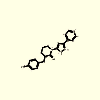 O=C1C(Cc2ccc(Cl)cc2)CCCN1c1cc(-c2ccncc2)n[nH]1